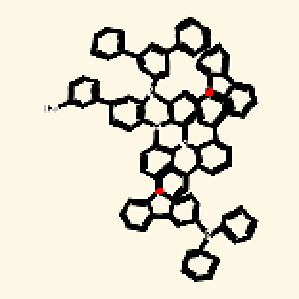 CC(C)(C)c1cccc(-c2ccc3c(c2)N(c2cc(-c4ccccc4)cc(-c4ccccc4)c2)c2cc(-n4c5ccccc5c5ccccc54)cc4c2B3c2ccc(-n3c5ccccc5c5cc(N(c6ccccc6)c6ccccc6)ccc53)cc2N4c2c(-c3ccccc3)cccc2-c2ccccc2)c1